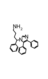 NCCCC(c1ccccc1)n1cnc(-c2ccccc2)c1-c1ccccc1